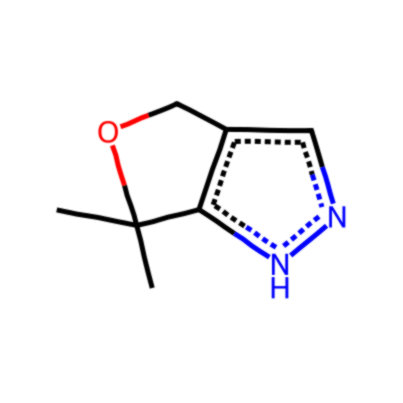 CC1(C)OCc2cn[nH]c21